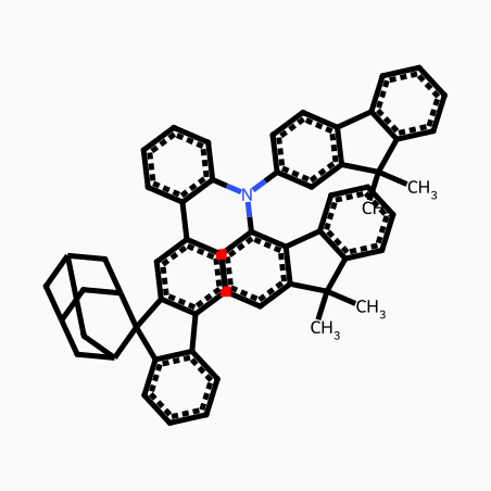 CC1(C)c2ccccc2-c2ccc(N(c3ccccc3-c3ccc4c(c3)C3(c5ccccc5-4)C4CC5CC(C4)CC3C5)c3cccc4c3-c3ccccc3C4(C)C)cc21